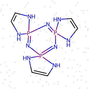 C1=CNP2(=NP3(=NP4(=N2)NC=CN4)NC=CN3)N1